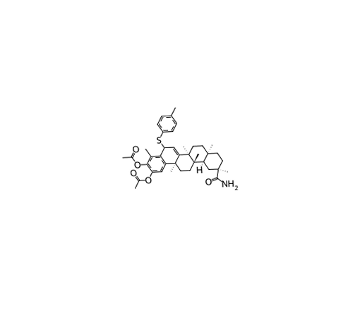 CC(=O)Oc1cc2c(c(C)c1OC(C)=O)C(Sc1ccc(C)cc1)C=C1[C@@]2(C)CC[C@@]2(C)[C@@H]3C[C@](C)(C(N)=O)CC[C@]3(C)CC[C@]12C